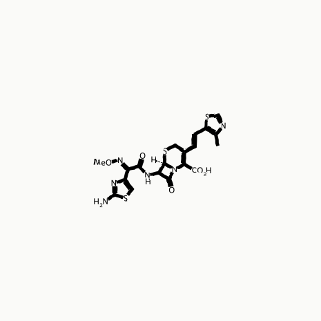 CO/N=C(/C(=O)NC1C(=O)N2C(C(=O)O)=C(/C=C/c3scnc3C)CS[C@H]12)c1csc(N)n1